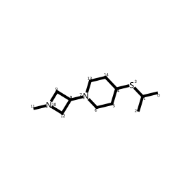 CC(C)SC1CCN(C2CN(C)C2)CC1